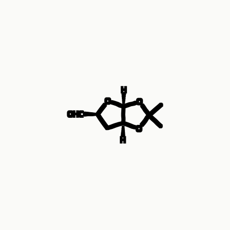 CC1(C)O[C@@H]2O[C@H](C=O)C[C@@H]2O1